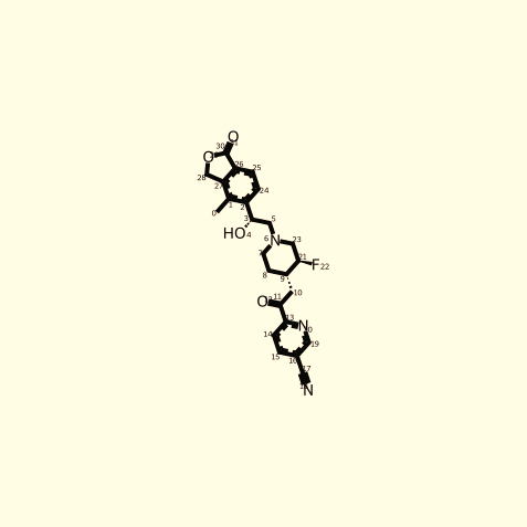 Cc1c([C@@H](O)CN2CC[C@@H](CC(=O)c3ccc(C#N)cn3)[C@H](F)C2)ccc2c1COC2=O